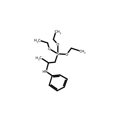 CCO[Si](CC(C)Nc1ccccc1)(OCC)OCC